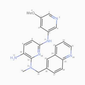 COc1cncc(Nc2ccc(N)c(N(C)Cc3ccc4ncccc4c3)n2)c1